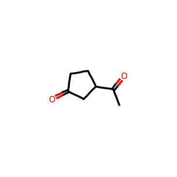 CC(=O)C1CCC(=O)C1